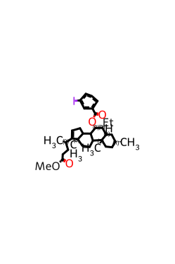 CC[C@H]1[C@@H](OC(=O)c2cccc(I)c2)C2C3CC=C([C@H](C)CCC(=O)OC)[C@@]3(C)CCC2[C@@]2(C)CC[C@@H](C)C[C@@H]12